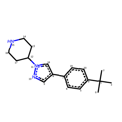 CC(C)(C)c1ccc(-c2cnn(C3CCNCC3)c2)cc1